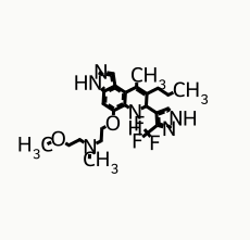 CCCC1=C(C)c2c(c(OCCN(C)CCOC)cc3[nH]ncc23)NC1c1c[nH]nc1C(F)(F)F